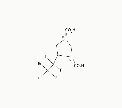 O=C(O)[C@H]1CC(C(F)(F)C(F)(F)Br)[C@@H](C(=O)O)C1